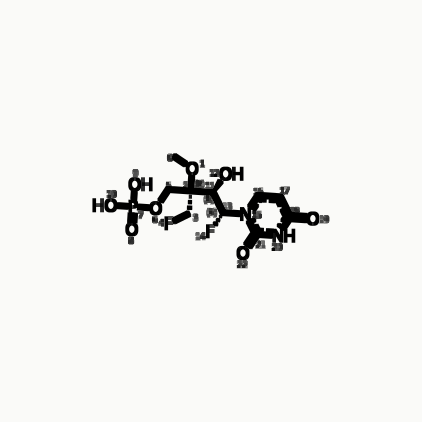 CO[C@](CF)(COP(=O)(O)O)[C@@H](O)[C@@H](F)n1ccc(=O)[nH]c1=O